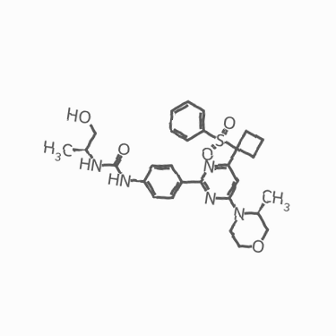 C[C@@H](CO)NC(=O)Nc1ccc(-c2nc(N3CCOC[C@@H]3C)cc(C3(S(=O)(=O)c4ccccc4)CCC3)n2)cc1